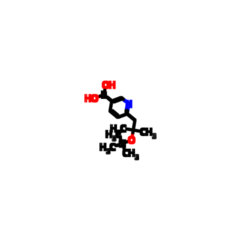 CC(C)(Cc1ccc(B(O)O)cn1)O[Si](C)(C)C